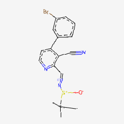 CC(C)(C)[S+]([O-])/N=C/c1nccc(-c2cccc(Br)c2)c1C#N